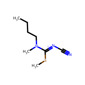 CCCCN(C)/C(=N/C#N)SC